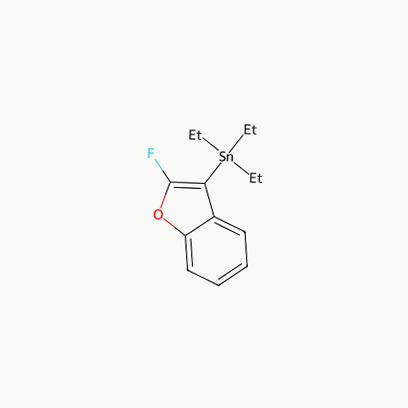 C[CH2][Sn]([CH2]C)([CH2]C)[c]1c(F)oc2ccccc12